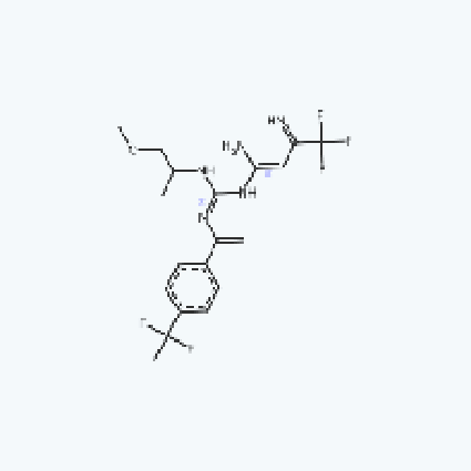 C=C(/N=C(\N/C(N)=C/C(=N)C(F)(F)F)NC(C)COC)c1ccc(C(C)(F)F)cc1